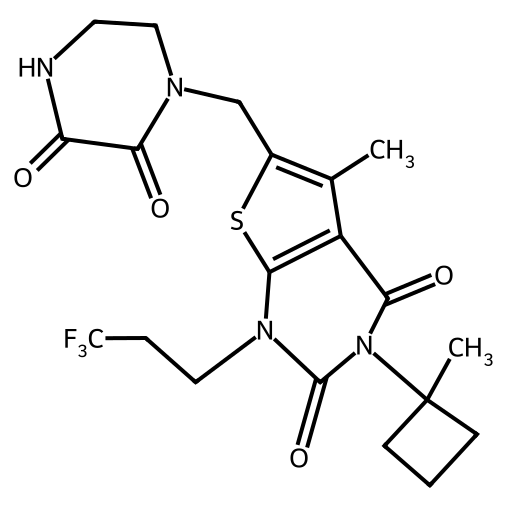 Cc1c(CN2CCNC(=O)C2=O)sc2c1c(=O)n(C1(C)CCC1)c(=O)n2CCC(F)(F)F